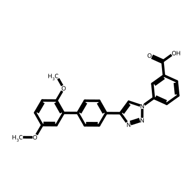 COc1ccc(OC)c(-c2ccc(-c3cn(-c4cccc(C(=O)O)c4)nn3)cc2)c1